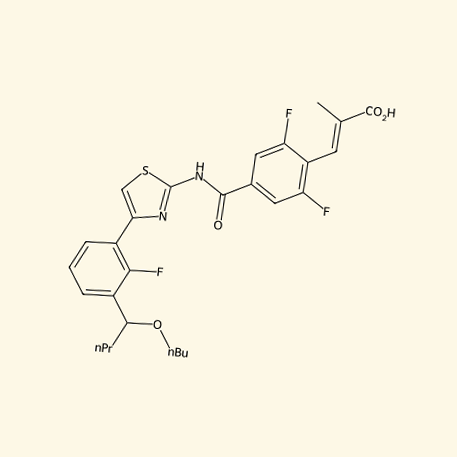 CCCCOC(CCC)c1cccc(-c2csc(NC(=O)c3cc(F)c(C=C(C)C(=O)O)c(F)c3)n2)c1F